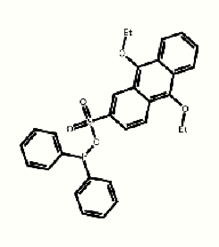 CCOc1c2ccccc2c(OCC)c2cc(S(=O)(=O)O[I+](c3ccccc3)c3ccccc3)ccc12